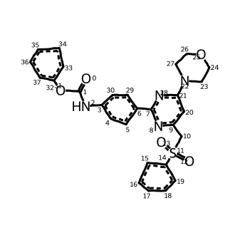 O=C(Nc1ccc(-c2nc(CS(=O)(=O)c3ccccc3)cc(N3CCOCC3)n2)cc1)Oc1ccccc1